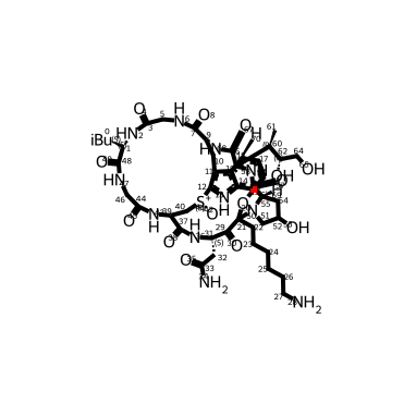 CC[C@H](C)[C@@H]1NC(=O)CNC(=O)C2Cc3c4[nH]c5cc(ccc35)OC(CCCCCCN)(C(=O)[C@H](CC(N)=O)NC(=O)C(C[S@@+]4[O-])NC(=O)CNC1=O)N1CC(O)C[C@H]1C(=O)N[C@@H]([C@@H](C)[C@@H](O)CO)C(=O)N2